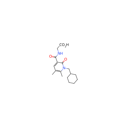 Cc1cc(C(=O)NCC(=O)O)c(=O)n(CC2CCCCC2)c1C